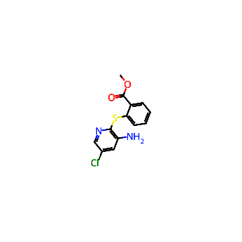 COC(=O)c1ccccc1Sc1ncc(Cl)cc1N